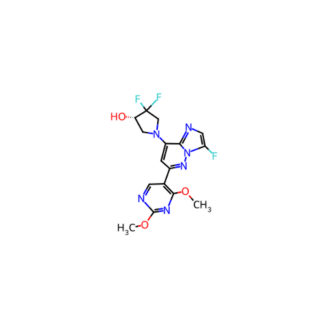 COc1ncc(-c2cc(N3C[C@H](O)C(F)(F)C3)c3ncc(F)n3n2)c(OC)n1